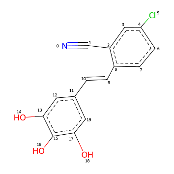 N#Cc1cc(Cl)ccc1C=Cc1cc(O)c(O)c(O)c1